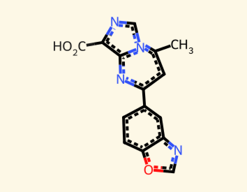 Cc1cc(-c2ccc3ocnc3c2)nc2c(C(=O)O)ncn12